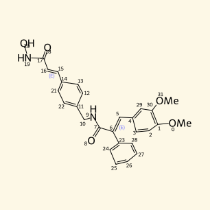 COc1ccc(/C=C(/C(=O)NCc2ccc(/C=C/C(=O)NO)cc2)c2ccccc2)cc1OC